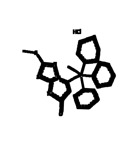 CSc1nn2c(P(C)(c3ccccc3)(c3ccccc3)c3ccccc3)cc(=O)nc2s1.Cl